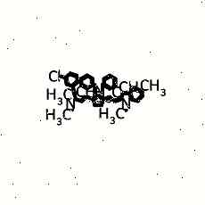 CC/N=C(\C=C\C1=C(N(c2ccccc2)c2ccccc2)C(=C/C=C2/N(CC)c3ccc(C)cc3C2(C)C)/CC1)C(C)(C)c1cccc(Cl)c1